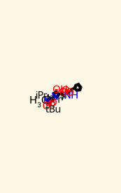 CC(C)C[C@H](NC(=O)OCc1ccccc1)C(=O)C1CN(C(=O)[C@H](CC(C)C)N(C)C(=O)OC(C)(C)C)CC1O